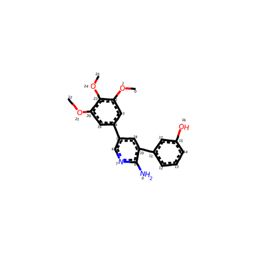 COc1cc(-c2cnc(N)c(-c3cccc(O)c3)c2)cc(OC)c1OC